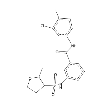 CC1OCCC1S(=O)(=O)Nc1cccc(C(=O)Nc2ccc(F)c(Cl)c2)c1